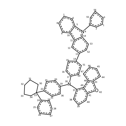 c1ccc(-n2c3ccccc3c3cc(-c4ccc(N(c5ccc(C6(c7ccccc7)CCCCC6)cc5)c5cccc6oc7ccccc7c56)cc4)ccc32)cc1